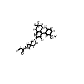 C=CC(=O)N1CC2(CCN(c3nc4c(c(-c5cc(O)ccc5C)c3C)CCC(C)(C)C4)C2)C1